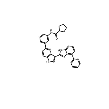 O=C(Nc1cncc(-c2ccc3[nH]nc(-c4nc5c(-c6ccccn6)cccc5[nH]4)c3n2)c1)C1CCCC1